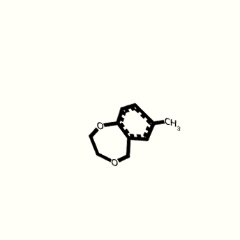 Cc1ccc2c(c1)COCCO2